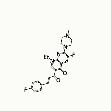 CCn1cc(C(=O)C=Cc2ccc(F)cc2)c(=O)c2cc(F)c(N3CCN(C)CC3)nc21